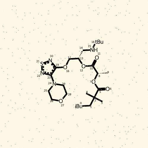 CCC(C)CC(C)(C)C(=O)O[C@@H](C)C(=O)O[C@@H](CNC(C)(C)C)COc1nsnc1N1CCOCC1